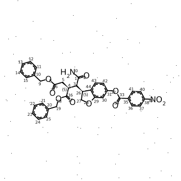 NC(=O)C([C@H](CC(=O)OCc1ccccc1)C(=O)OCc1ccccc1)[C@@H]1COc2cc(OC(=O)c3ccc([N+](=O)[O-])cc3)ccc21